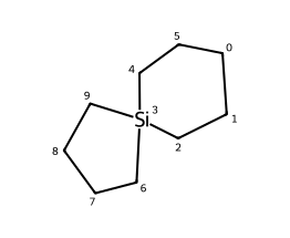 C1CC[Si]2(CC1)CCCC2